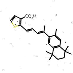 C/C(=C\C=C\c1sccc1C(=O)O)c1cc2c(cc1C)C(C)(C)CCC2(C)C